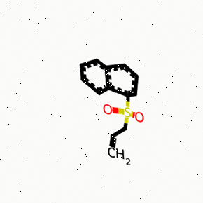 C=CCS(=O)(=O)c1cccc2ccccc12